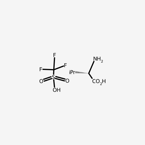 CC(C)[C@H](N)C(=O)O.O=S(=O)(O)C(F)(F)F